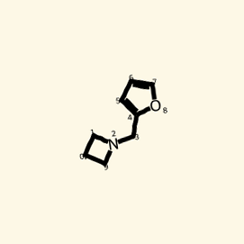 [CH]1CN(Cc2ccco2)C1